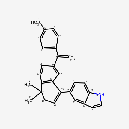 C=C(c1ccc(C(=O)O)cc1)c1ccc2c(c1)C(c1ccc3[nH]ccc3c1)=CCC2(C)C